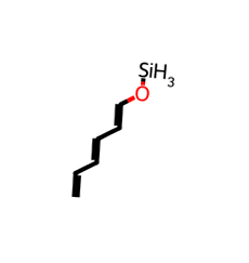 C=CC=CC=CO[SiH3]